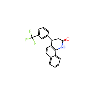 O=C1CC(c2cccc(C(F)(F)F)c2)c2ccc3ccccc3c2N1